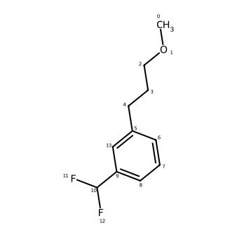 COCCCc1cccc(C(F)F)c1